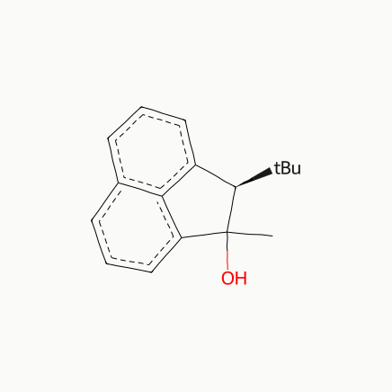 CC(C)(C)[C@@H]1c2cccc3cccc(c23)C1(C)O